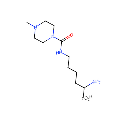 CN1CCN(C(=O)NCCCCC(N)C(=O)O)CC1